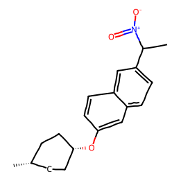 CC(c1ccc2cc(O[C@H]3CC[C@@H](C)CC3)ccc2c1)[N+](=O)[O-]